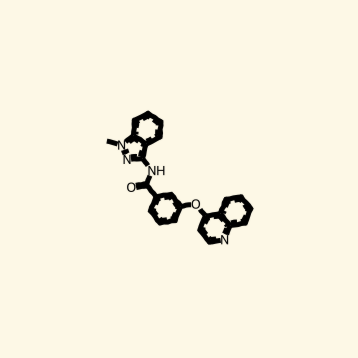 Cn1nc(NC(=O)c2cccc(Oc3ccnc4ccccc34)c2)c2ccccc21